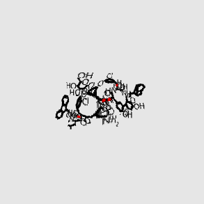 CC(C)C[C@H](C(=O)N[C@H]1C(=O)C[C@@H](CC(N)=O)C(=O)N[C@H]2C(=O)C[C@H]3C(=O)N[C@H](C(=O)N[C@H](C(=O)CC4C5CC6CC(C5)CC4C6)c4cc(O)cc(O)c4-c4cc3ccc4O)[C@H](O)c3ccc(c(Cl)c3)Oc3cc2cc(c3O[C@@H]2O[C@H](CO)[C@@H](O)[C@H](O)[C@H]2O)Oc2ccc(cc2Cl)[C@H]1O)N(C)C(=O)OCC1c2ccccc2-c2ccccc21